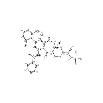 C[C@@H](Nc1nc(-c2c(O)cccc2F)c(Cl)c2c1C(=O)N1CCN(C(=O)OC(C)(C)C)C[C@@H]1CO2)c1ccccc1